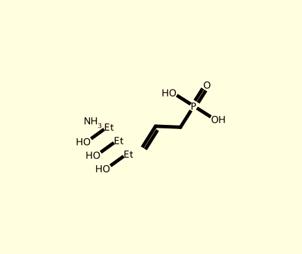 C=CCP(=O)(O)O.CCO.CCO.CCO.N